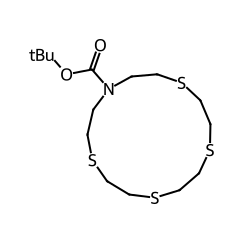 CC(C)(C)OC(=O)N1CCSCCSCCSCCSCC1